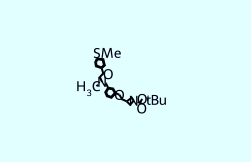 CSc1ccc(C(=O)CN(C)Cc2cccc(OCC3CN(C(=O)OC(C)(C)C)C3)c2)cc1